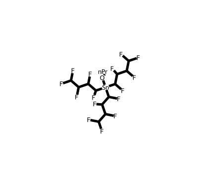 CCC[O][Sn]([CH](F)C(F)C(F)C(F)F)([CH](F)C(F)C(F)C(F)F)[CH](F)C(F)C(F)C(F)F